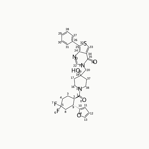 O=C([C@@H]1CCC(F)(F)C[C@H]1c1ccco1)N1CCC(O)(Cn2cnc3c(-c4ccccc4)scc3c2=O)CC1